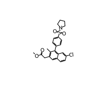 COC(=O)Cc1cc2ccc(Cl)cc2c(-c2ccc(S(=O)(=O)N3CCCC3)cc2)c1C